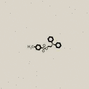 Cc1ccc(S(=O)(=O)OCCP(c2ccccc2)c2ccccc2)cc1